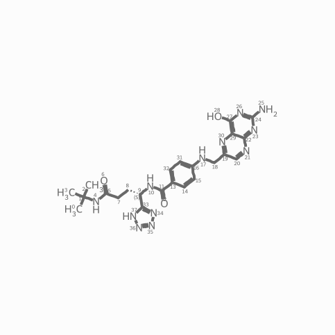 CC(C)(C)NC(=O)CC[C@H](NC(=O)c1ccc(NCc2cnc3nc(N)nc(O)c3n2)cc1)c1nnn[nH]1